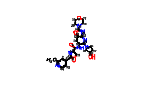 Cc1cc(-c2nc(C(=O)Nc3cc4oc(N5CCOCC5)nc4nc3N3CC[C@@H](O)C3)co2)ccn1